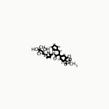 CC(C)(O)C(O)Cn1ccc(NC(=O)C(CC2CCCC2)c2ccc(S(C)(=O)=O)c(Cl)c2)n1